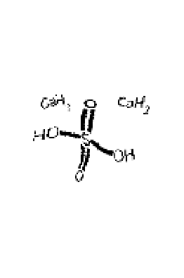 O=S(=O)(O)O.[CaH2].[GaH3]